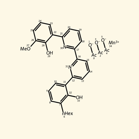 CC(=O)[O-].CC(=O)[O-].CC(=O)[O-].CCCCCCc1cccc(-c2cccc(-c3cccc(-c4cccc(OC)c4O)n3)n2)c1O.[Mn+3]